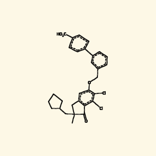 CC1(CC2CCCC2)Cc2cc(OCc3cccc(-c4ccc(C(=O)O)cc4)c3)c(Cl)c(Cl)c2C1=O